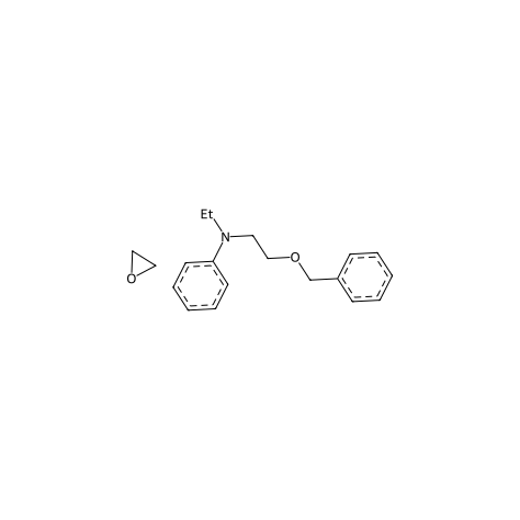 C1CO1.CCN(CCOCc1ccccc1)c1ccccc1